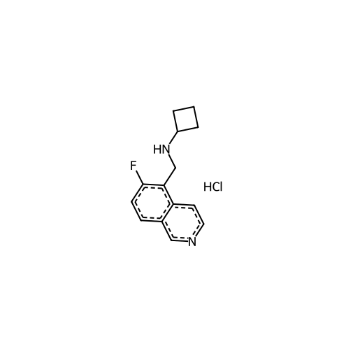 Cl.Fc1ccc2cnccc2c1CNC1CCC1